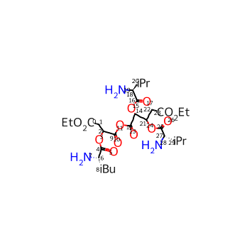 CCOC(=O)CC(OC(=O)[C@@H](N)[C@@H](C)CC)C(=O)OC(=O)C(OC(=O)[C@@H](N)C(C)C)C(CC(=O)OCC)OC(=O)[C@@H](N)C(C)C